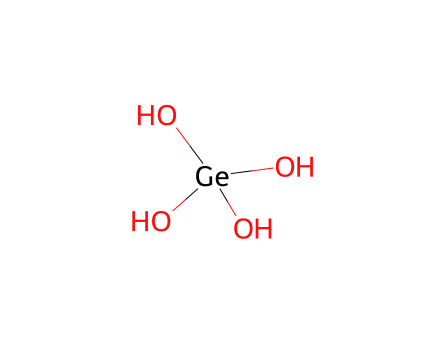 [OH][Ge]([OH])([OH])[OH]